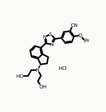 CC(C)Oc1ccc(-c2nc(-c3cccc4c3CC[C@H]4N(CCO)CCO)ns2)cc1C#N.Cl